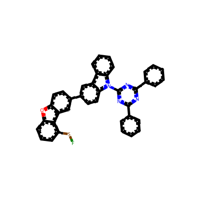 FSc1cccc2oc3ccc(-c4ccc5c(c4)c4ccccc4n5-c4nc(-c5ccccc5)nc(-c5ccccc5)n4)cc3c12